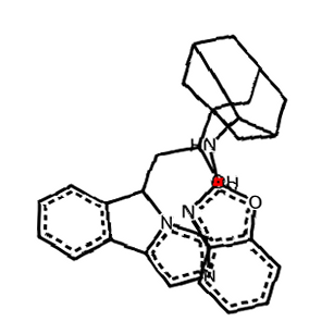 OC(CC1c2ccccc2-c2cncn21)C12CC3CC(C1)C(Nc1nc4ccccc4o1)C(C3)C2